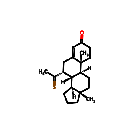 CC(=S)[C@@H]1CC2=CC(=O)CC[C@]2(C)[C@H]2CC[C@]3(C)CCC[C@H]3[C@H]12